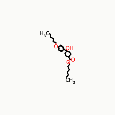 CCCCCCCOC(=O)C1CCC(O)(c2ccc(OCCCCCC)cc2)CC1